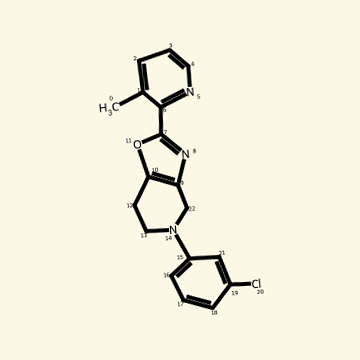 Cc1cccnc1-c1nc2c(o1)CCN(c1cccc(Cl)c1)C2